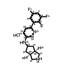 Cl.Fc1cc(F)c(F)c(-c2ccc(NC3C[C@H]4CNC[C@H]4C3)nn2)c1